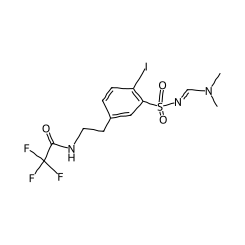 CN(C)C=NS(=O)(=O)c1cc(CCNC(=O)C(F)(F)F)ccc1I